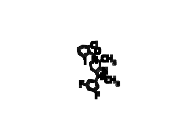 CC1c2nn(C)c(-c3cc(F)cc(F)c3)c2CCN1C(=O)c1c(Cl)cccc1I